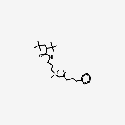 CC(C)(C)CC(C(=O)NCCC[N+](C)(C)CC(=O)CCCc1ccccc1)C(C)(C)C